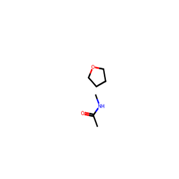 C1CCOC1.CNC(C)=O